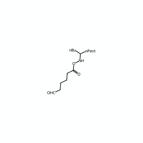 CCCCCC(CCCC)NOC(=O)CCCCC=O